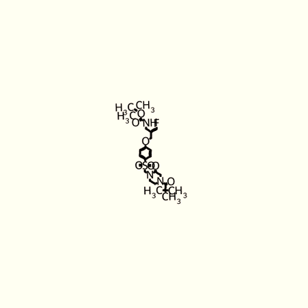 CC(C)(C)OC(=O)NC/C(=C\F)COc1ccc(S(=O)(=O)CN2CCN(C(=O)C(C)(C)C)CC2=O)cc1